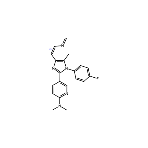 C=N/C=C\c1nc(-c2ccc(N(C)C)nc2)n(-c2ccc(F)cc2)c1C